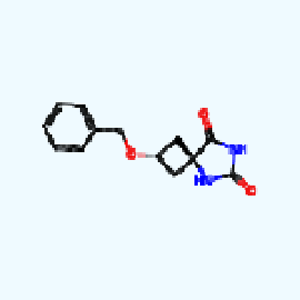 O=C1NC(=O)[C@]2(C[C@@H](OCc3ccccc3)C2)N1